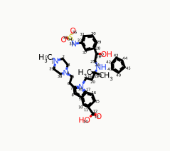 CN1CCN(CCc2cc3cc(C(=O)O)ccc3n2CCC(C)(C)NCC(O)c2cccc(N=S(=O)=O)c2)CC1.c1ccccc1